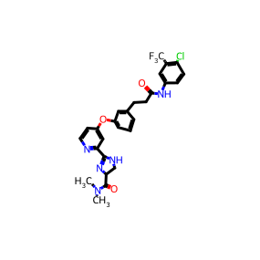 CN(C)C(=O)C1CNC(c2cc(Oc3cccc(CCC(=O)Nc4ccc(Cl)c(C(F)(F)F)c4)c3)ccn2)=N1